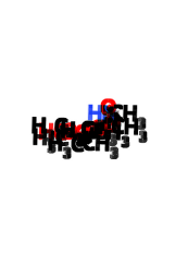 CCC1C(CCCOC(O)(CC)CC)OC(C)C(CC(C)(CC)COCCCC2OC(C)C[C@@H](C)C2NC=O)C1C